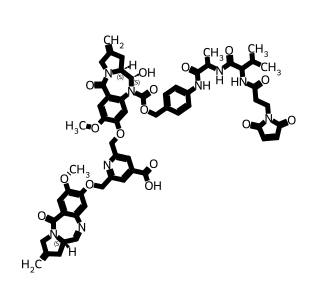 C=C1C[C@H]2C=Nc3cc(OCc4cc(C(=O)O)cc(COc5cc6c(cc5OC)C(=O)N5CC(=C)C[C@H]5[C@H](O)N6C(=O)OCc5ccc(NC(=O)C(C)NC(=O)C(NC(=O)CCN6C(=O)C=CC6=O)C(C)C)cc5)n4)c(OC)cc3C(=O)N2C1